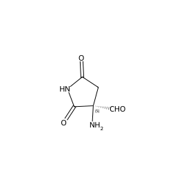 N[C@]1(C=O)CC(=O)NC1=O